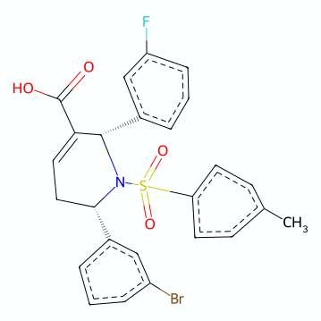 Cc1ccc(S(=O)(=O)N2[C@@H](c3cccc(F)c3)C(C(=O)O)=CC[C@H]2c2cccc(Br)c2)cc1